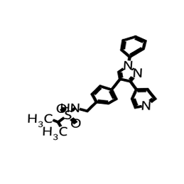 CC(C)S(=O)(=O)NCc1ccc(-c2cn(-c3ccccc3)nc2-c2ccncc2)cc1